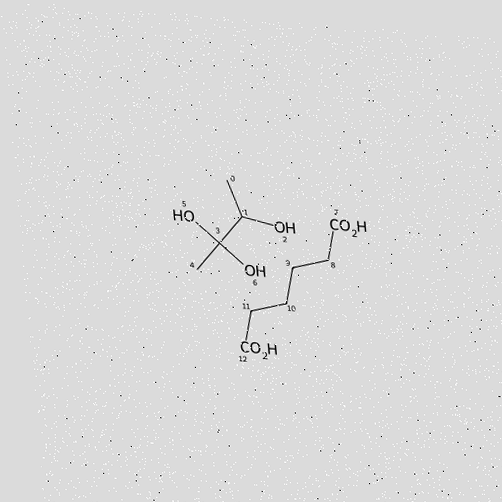 CC(O)C(C)(O)O.O=C(O)CCCCC(=O)O